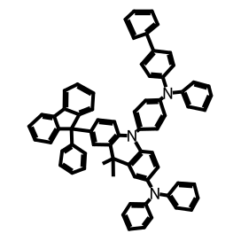 CC1(C)c2cc(N(c3ccccc3)c3ccccc3)ccc2N(c2ccc(N(c3ccccc3)c3ccc(-c4ccccc4)cc3)cc2)c2ccc(C3(c4ccccc4)c4ccccc4-c4ccccc43)cc21